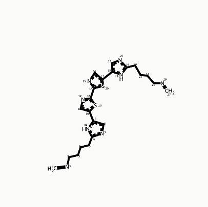 C=NCCCCc1ncc(-c2cnc(-c3ncc(-c4cnc(CCCCN=C)[nH]4)s3)s2)[nH]1